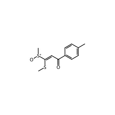 CS/C(=C\C(=O)c1ccc(C)cc1)[S+](C)[O-]